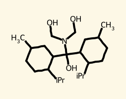 CC1CCC(C(C)C)C(C(O)(C2CC(C)CCC2C(C)C)N(CO)CO)C1